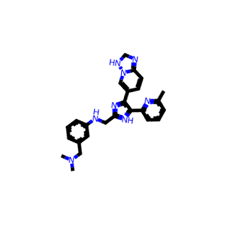 Cc1cccc(-c2[nH]c(CNc3cccc(CN(C)C)c3)nc2C2=CN3NCN=C3C=C2)n1